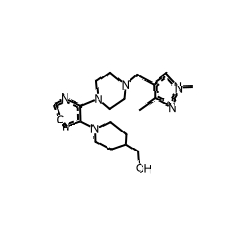 Cc1nn(C)cc1CN1CCN(c2nccnc2N2CCC(CO)CC2)CC1